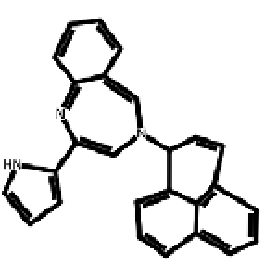 C1=CC(N2C=C(c3ccc[nH]3)N=c3ccccc3=C2)c2cccc3cccc1c23